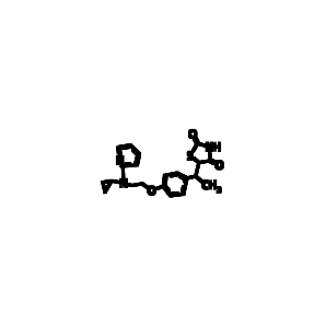 CC(c1ccc(OCCN(c2ccccn2)C2CC2)cc1)C1SC(=O)NC1=O